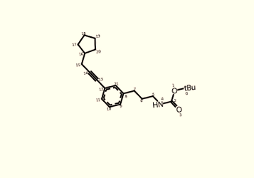 CC(C)(C)OC(=O)NCCCc1cccc(C#CCC2CCCC2)c1